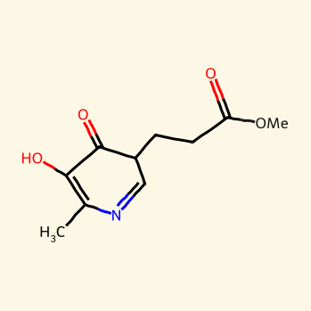 COC(=O)CCC1C=NC(C)=C(O)C1=O